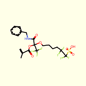 C=C(C)C(=O)OC(OCCCCC(F)(F)C(F)(F)S(=O)(=O)O)(C(=O)NCc1ccccc1)C(F)(F)F